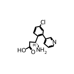 NC[C@H](CC(=O)O)c1ccc(Cl)cc1-c1cccnc1